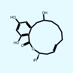 CC(C)[C@@H]1C/C=C/CCCCC(O)Cc2cc(O)cc(O)c2C(=O)O1